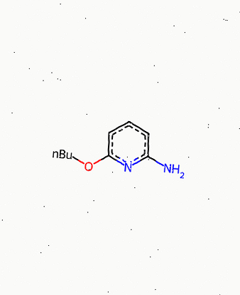 CCCCOc1cccc(N)n1